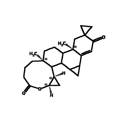 C[C@@]12CCCC(=O)O[C@@H]3C[C@@H]3C1C1C3CC3C3=CC(=O)C4(CC4)C[C@]3(C)C1CC2